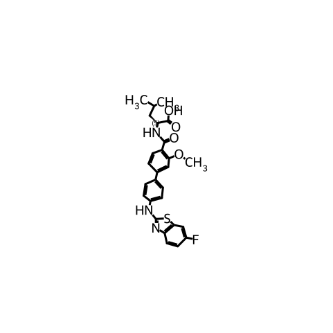 COc1cc(-c2ccc(Nc3nc4ccc(F)cc4s3)cc2)ccc1C(=O)N[C@@H](CC(C)C)C(=O)O